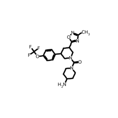 Cc1noc(C2CC(c3ccc(OC(F)(F)F)cc3)CN(C(=O)N3CCC(N)CC3)C2)n1